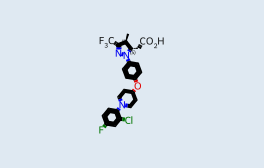 C[C@@H]1C(C(F)(F)F)=NN(c2ccc(OC3CCN(c4ccc(F)cc4Cl)CC3)cc2)[C@H]1CC(=O)O